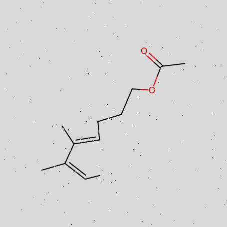 CC=C(C)C(C)=CCCCOC(C)=O